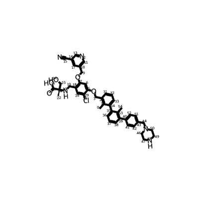 Cc1c(COc2cc(OCc3cncc(C#N)c3)c(CN[C@@](C)(CO)C(=O)O)cc2Cl)cccc1-c1cccc(-c2ccc(CN3CCNCC3)cc2)c1C